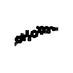 Cc1cc(C[C@@H](O)CO)cnc1N1CCN(C(=O)Nc2nc3ccc(F)cc3s2)CC1